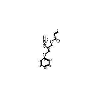 C=CC(=O)OCC(COc1ccccc1)ON